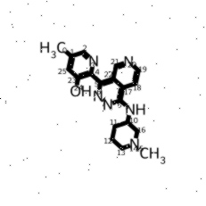 Cc1cnc(-c2nnc(NC3CCCN(C)C3)c3ccncc23)c(O)c1